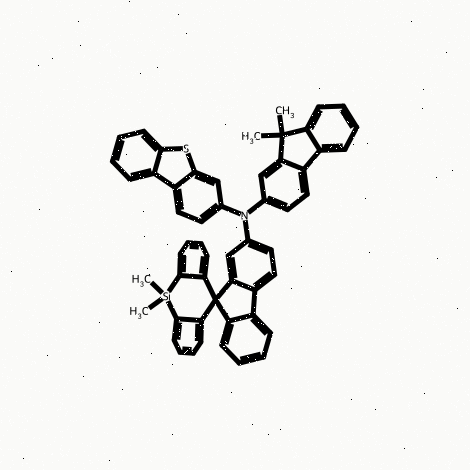 CC1(C)c2ccccc2-c2ccc(N(c3ccc4c(c3)C3(c5ccccc5-4)c4ccccc4[Si](C)(C)c4ccccc43)c3ccc4c(c3)sc3ccccc34)cc21